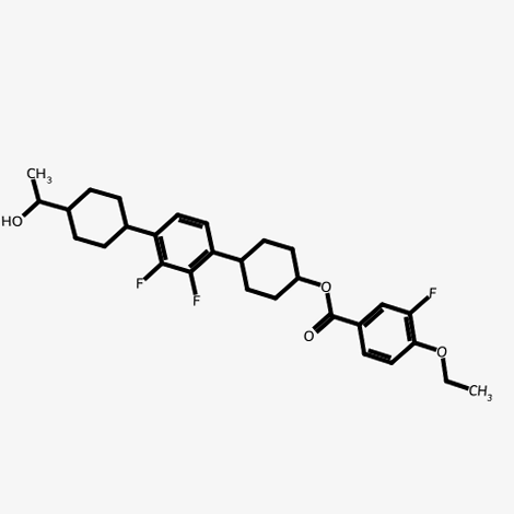 CCOc1ccc(C(=O)OC2CCC(c3ccc(C4CCC(C(C)O)CC4)c(F)c3F)CC2)cc1F